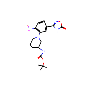 CC(C)(C)OC(=O)NC1CCCN(c2cc(-c3noc(=O)[nH]3)ccc2[N+](=O)[O-])C1